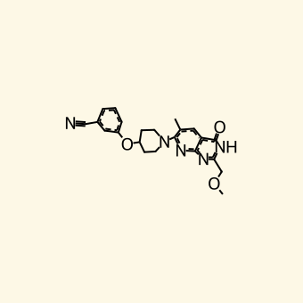 COCc1nc2nc(N3CCC(Oc4cccc(C#N)c4)CC3)c(C)cc2c(=O)[nH]1